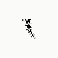 CC(=O)NC[C@H]1CN(c2cc(F)c(N3CC(N)C4(CC4)C3)c(F)c2)C(=O)O1